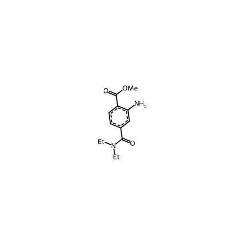 CCN(CC)C(=O)c1ccc(C(=O)OC)c(N)c1